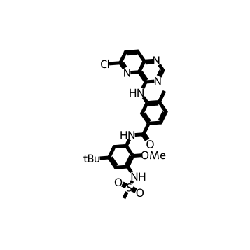 COC1=C(NS(C)(=O)=O)C=C(C(C)(C)C)CC1NC(=O)c1ccc(C)c(Nc2ncnc3ccc(Cl)nc23)c1